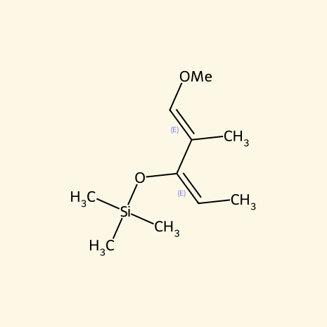 C/C=C(O[Si](C)(C)C)\C(C)=C\OC